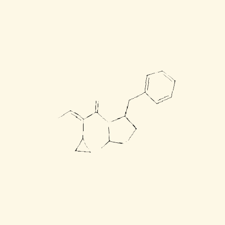 CCC=C(C(=O)N1C(Cc2ccccc2)COC1C=O)C1CC1